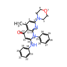 Cc1cc(N2CCOCC2)nc2c1c(=O)cc(Nc1ccccc1)n2-c1ccccc1